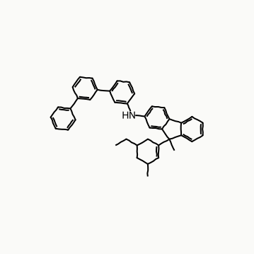 CCC1CC(C2(C)c3ccccc3-c3ccc(Nc4cccc(-c5cccc(-c6ccccc6)c5)c4)cc32)=CC(C)C1